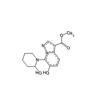 COC(=O)c1cnn2c(N3CCCCC3O)c(O)ccc12